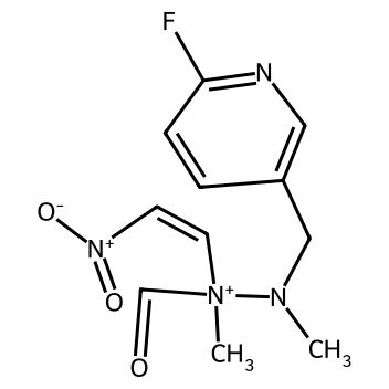 CN(Cc1ccc(F)nc1)[N+](C)(C=O)C=C[N+](=O)[O-]